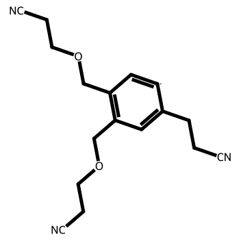 N#CCCOCc1c[c]c(CCC#N)cc1COCCC#N